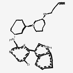 C=CCN[C@H]1CCCN([C@@H]2CCC[C@@H](Nc3ncc(Cl)c(-c4c[nH]c5ccccc45)n3)C2)C1